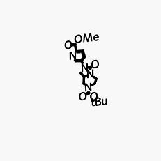 COC(=O)c1ccc(N2CC3CN(C(=O)OC(C)(C)C)CCN3C2=O)cn1